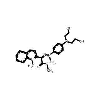 COC(=O)/C(=N\N(C)c1ccc(N(CCO)CCO)cc1)c1ccc2ccccc2[n+]1C